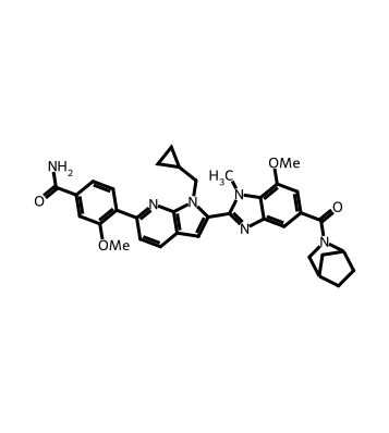 COc1cc(C(N)=O)ccc1-c1ccc2cc(-c3nc4cc(C(=O)N5CC6CCC5C6)cc(OC)c4n3C)n(CC3CC3)c2n1